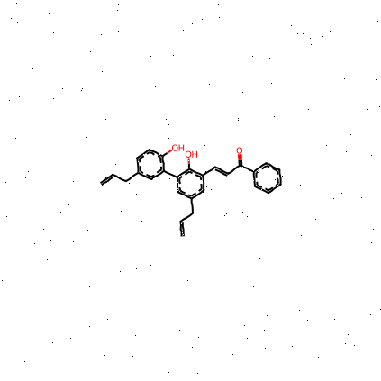 C=CCc1ccc(O)c(-c2cc(CC=C)cc(C=CC(=O)c3ccccc3)c2O)c1